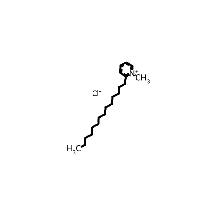 CCCCCCCCCCCCCCc1cccc[n+]1C.[Cl-]